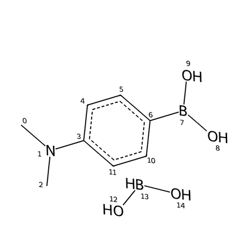 CN(C)c1ccc(B(O)O)cc1.OBO